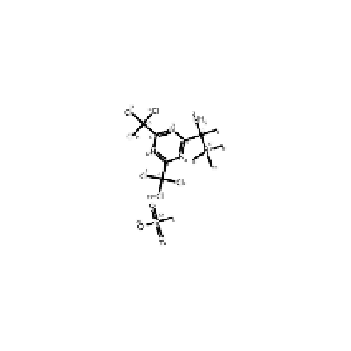 CC(N)(c1nc(C(Cl)(Cl)Cl)nc(C(Cl)(Cl)Cl)n1)[N+](C)(C)C.CS(=O)(=O)[O-]